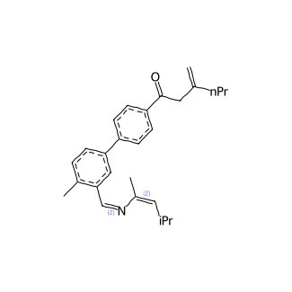 C=C(CCC)CC(=O)c1ccc(-c2ccc(C)c(/C=N\C(C)=C/C(C)C)c2)cc1